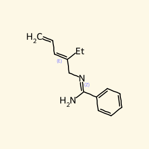 C=C/C=C(\CC)C/N=C(\N)c1ccccc1